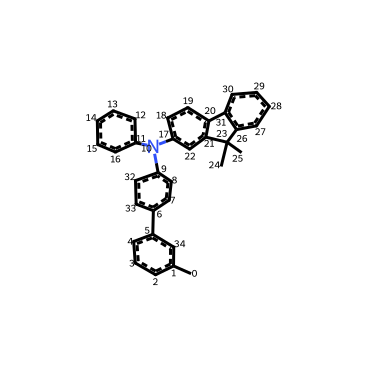 Cc1cccc(-c2ccc(N(c3ccccc3)c3ccc4c(c3)C(C)(C)c3ccccc3-4)cc2)c1